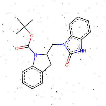 CC(C)(C)OC(=O)N1c2ccccc2CC1Cn1c(=O)[nH]c2ccccc21